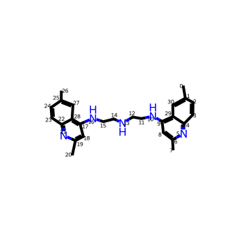 Cc1ccc2nc(C)cc(NCCNCCNc3cc(C)nc4ccc(C)cc34)c2c1